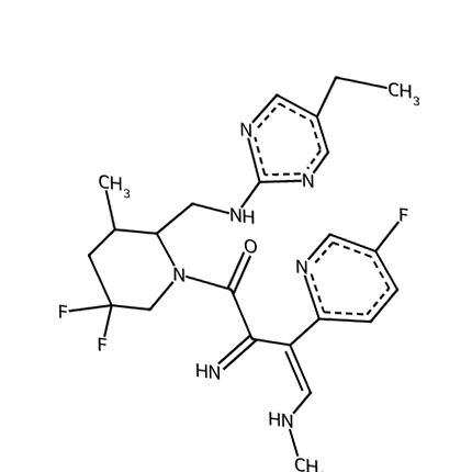 CCc1cnc(NCC2C(C)CC(F)(F)CN2C(=O)C(=N)/C(=C\NC)c2ccc(F)cn2)nc1